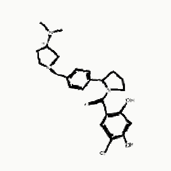 CN(C)[C@@H]1CCN(Cc2ccc(C3CCCN3C(=O)c3cc(Cl)c(O)cc3O)cc2)C1